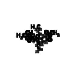 CCCCOC1=C(CNC(=O)OC(C)(C)C)N(CC2CC2)C=C2CC(=O)C(C(=O)OC)C=C21